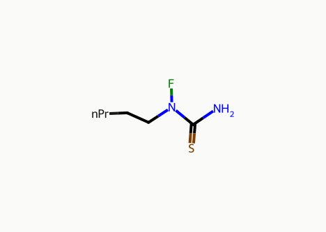 CCCCCN(F)C(N)=S